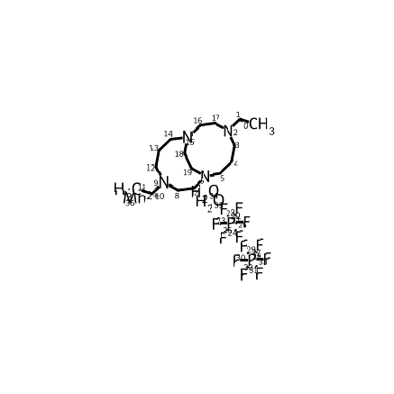 CCN1CCCN2CCN(CC)CCCN(CC1)CC2.F[P-](F)(F)(F)(F)F.F[P-](F)(F)(F)(F)F.O.O.[Mn+2]